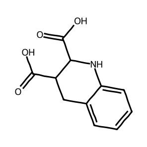 O=C(O)C1Cc2ccccc2NC1C(=O)O